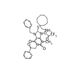 Cn1c2c(c(=O)n(CC(=O)c3ccccc3)c1=O)N(Cc1ccccc1)C(SC1(CN)CCCCCCC1)N2OC(=O)C(F)(F)F